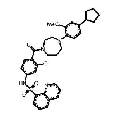 COc1cc(C2CCCC2)ccc1N1CCCN(C(=O)c2ccc(NS(=O)(=O)c3cccc4cccnc34)cc2Cl)CC1